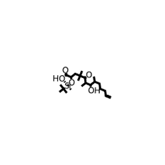 C=CCCCC(C)C(O)C(C)C(=O)C(C)(C)CC(O[Si](C)(C)C(C)(C)C)C(=O)O